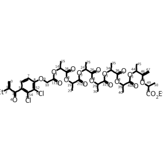 C=C(CC)C(=O)c1ccc(OCC(=O)OC(C)C(=O)OC(C)C(=O)OC(C)C(=O)OC(C)C(=O)OC(C)C(=O)OC(C)C(=O)OC(C)C(=C)OC(C)C(=O)OCC)c(Cl)c1Cl